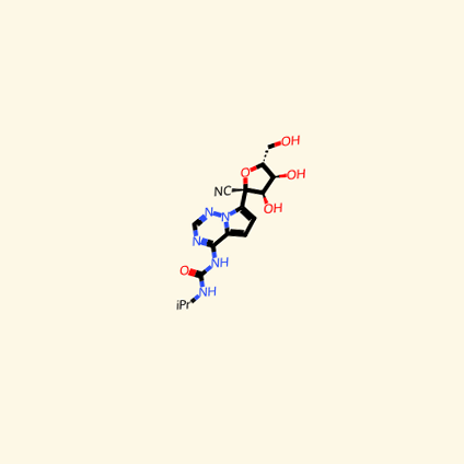 CC(C)NC(=O)Nc1ncnn2c([C@]3(C#N)O[C@H](CO)[C@@H](O)[C@H]3O)ccc12